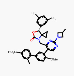 COc1ccc(-c2ccc(C(=O)O)cc2C)cc1-c1cnc(N2CC(C)C2)nc1CN1C(=O)O[C@H](c2cc(C(F)(F)F)cc(C(F)(F)F)c2)C12CC2